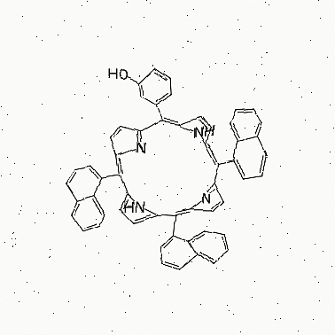 Oc1cccc(-c2c3nc(c(-c4cccc5ccccc45)c4ccc([nH]4)c(-c4cccc5ccccc45)c4nc(c(-c5cccc6ccccc56)c5ccc2[nH]5)C=C4)C=C3)c1